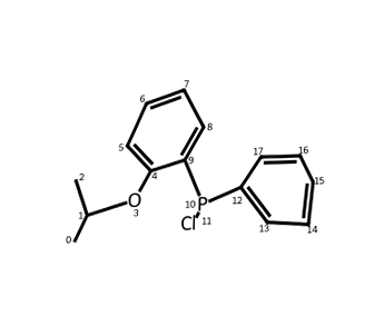 CC(C)Oc1ccccc1P(Cl)c1ccccc1